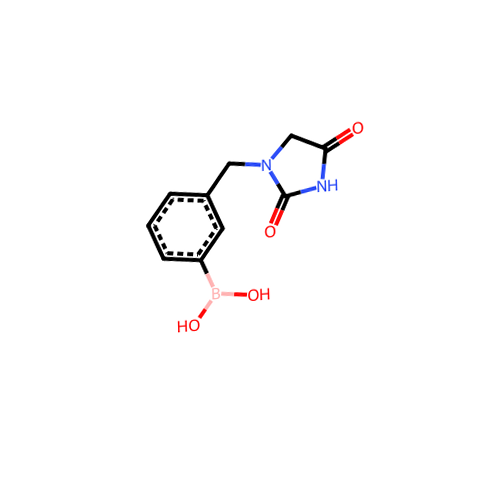 O=C1CN(Cc2cccc(B(O)O)c2)C(=O)N1